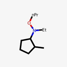 CCCON(CC)C1CCCC1C